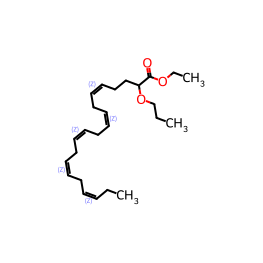 CC/C=C\C/C=C\C/C=C\C/C=C\C/C=C\CCC(OCCC)C(=O)OCC